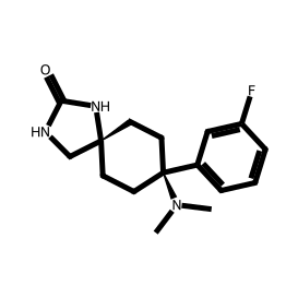 CN(C)[C@]1(c2cccc(F)c2)CC[C@@]2(CC1)CNC(=O)N2